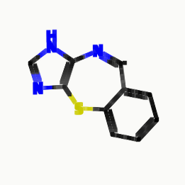 [C]1=Nc2[nH]cnc2Sc2ccccc21